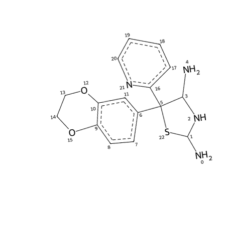 NC1NC(N)C(c2ccc3c(c2)OCCO3)(c2ccccn2)S1